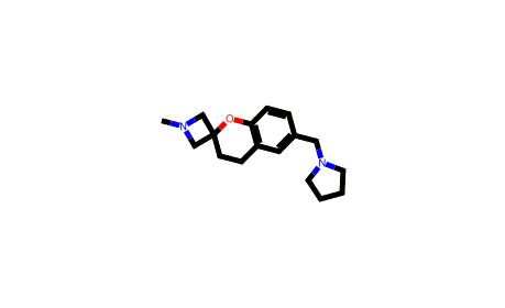 CN1CC2(CCc3cc(CN4CCCC4)ccc3O2)C1